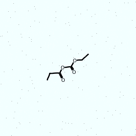 CCOC(=O)OC(=O)CC